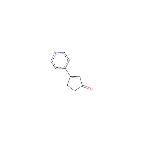 O=C1C=C(c2ccncc2)CC1